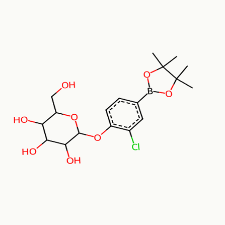 CC1(C)OB(c2ccc(OC3OC(CO)C(O)C(O)C3O)c(Cl)c2)OC1(C)C